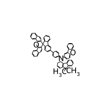 CC1(C)C2=C(c3ccccc31)C(N(c1ccc(-c3ccc4c(c3)-c3ccccc3C43c4ccc5ccccc5c4Oc4c3ccc3ccccc43)cc1)c1ccc3oc4ccccc4c3c1)CC=C2